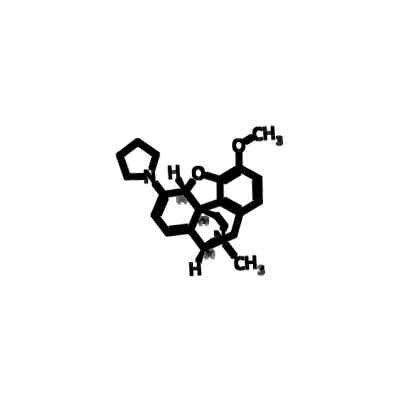 COc1ccc2c3c1O[C@H]1C(N4CCCC4)=CC=C4[C@@H](C2)N(C)CC[C@]431